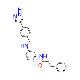 O=C(CCc1ccccc1)Nc1cc(NCc2ccc(-c3cn[nH]c3)cc2)ccc1F